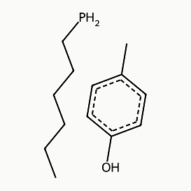 CCCCCCP.Cc1ccc(O)cc1